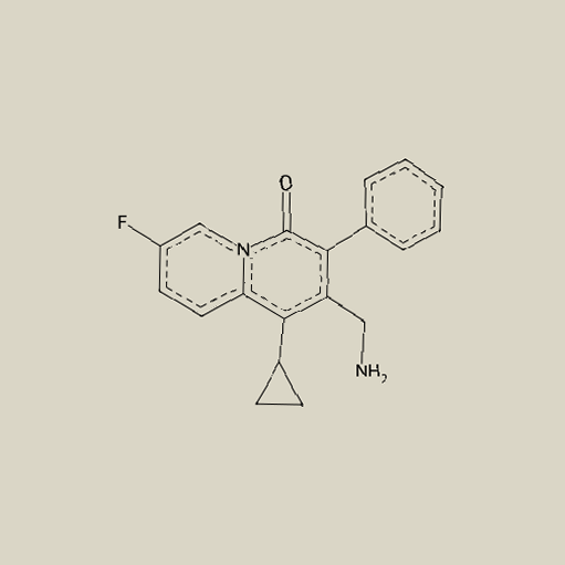 NCc1c(-c2ccccc2)c(=O)n2cc(F)ccc2c1C1CC1